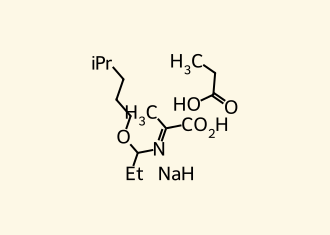 CCC(=O)O.CCC(N=C(C)C(=O)O)OCCCC(C)C.[NaH]